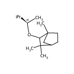 CC(C)[C@@H](C)OC1C2(C)CCC(C2)C1(C)C